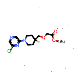 CC(C)(C)OC(=O)COCC1(F)CCN(c2cncc(Cl)n2)CC1